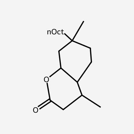 CCCCCCCCC1(C)CCC2C(C)CC(=O)OC2C1